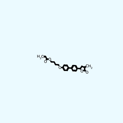 C=CC(=O)OCCCCOc1ccc(-c2ccc(C3CC(=C)C(=O)O3)cc2)cc1